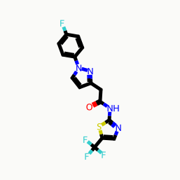 O=C(Cc1ccn(-c2ccc(F)cc2)n1)Nc1ncc(C(F)(F)F)s1